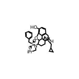 CC(C)CN(C1CC[C@@]2(O)[C@H]3Cc4ccc(O)c5c4[C@@]2(CCN3CC2CC2)C1O5)S(=O)(=O)Cc1ccccc1